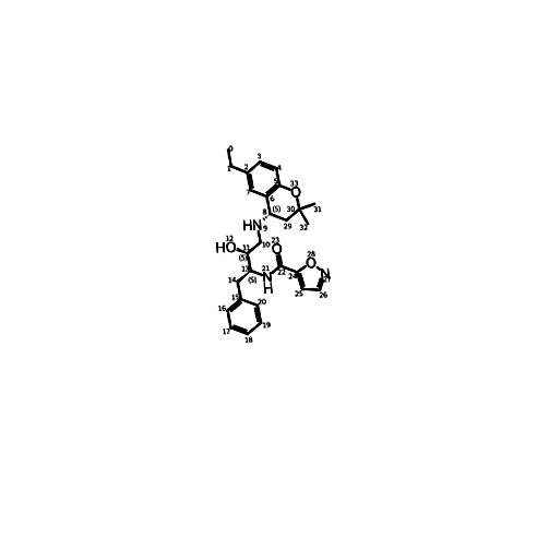 CCc1ccc2c(c1)[C@@H](NC[C@H](O)[C@H](Cc1ccccc1)NC(=O)c1ccno1)CC(C)(C)O2